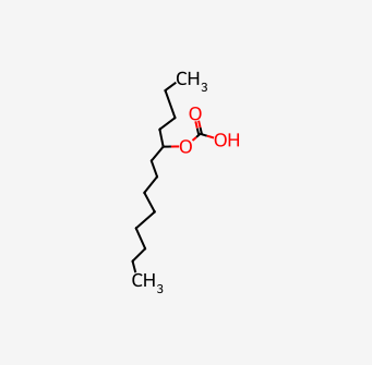 CCCCCCCCC(CCCC)OC(=O)O